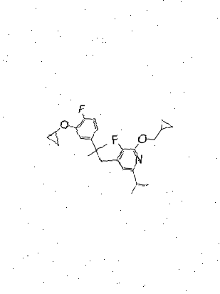 CC(C)c1cc(CC(C)(C)c2ccc(F)c(OC3CC3)c2)c(F)c(OCC2CC2)n1